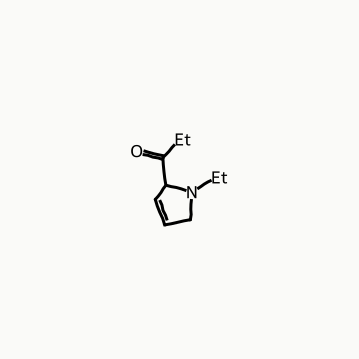 CCC(=O)C1C=CCN1CC